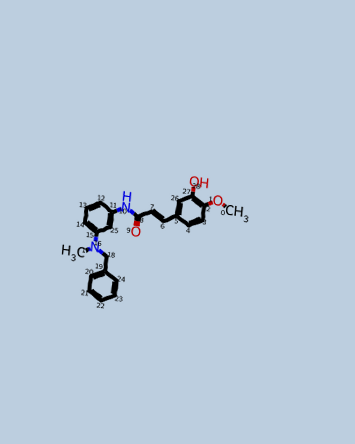 COc1ccc(/C=C/C(=O)Nc2cccc(N(C)Cc3ccccc3)c2)cc1O